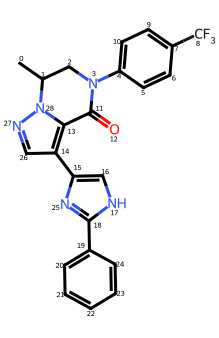 CC1CN(c2ccc(C(F)(F)F)cc2)C(=O)c2c(-c3c[nH]c(-c4ccccc4)n3)cnn21